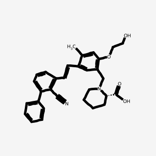 Cc1cc(OCCO)c(CN2CCCC[C@H]2C(=O)O)cc1/C=C/c1cccc(-c2ccccc2)c1C#N